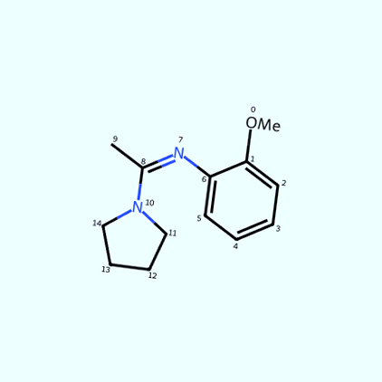 COc1ccccc1N=C(C)N1CCCC1